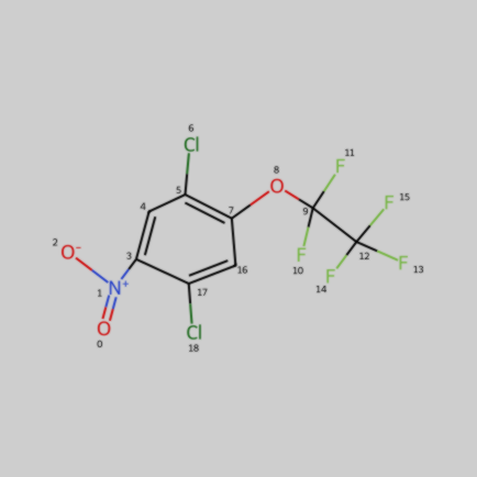 O=[N+]([O-])c1cc(Cl)c(OC(F)(F)C(F)(F)F)cc1Cl